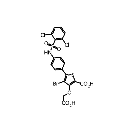 O=C(O)COc1c(C(=O)O)sc(-c2ccc(NS(=O)(=O)c3c(Cl)cccc3Cl)cc2)c1Br